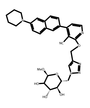 CO[C@H]1O[C@H](Cn2cc(COc3nccc(-c4ccc5cc(N6CCCCC6)ccc5c4)c3C#N)nn2)[C@@H](O)[C@H](O)C1O